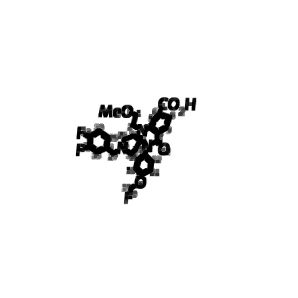 COCCN1c2cc(C(=O)O)ccc2C(=O)N(c2ccc(OCF)cc2)C12CCN(Cc1ccc(F)c(F)c1)CC2